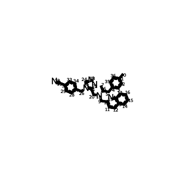 Cc1ccc(CC(C)N(Cc2ccc3ccccc3n2)Cc2nncn2Cc2ccc(C#N)cc2)cc1